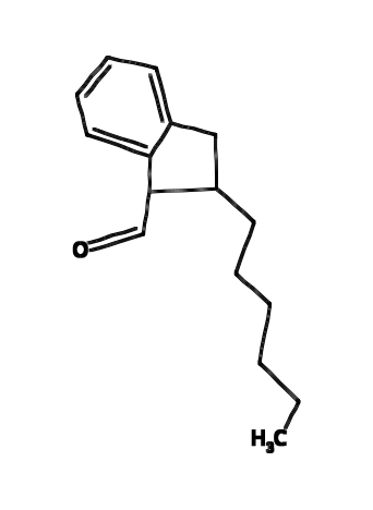 CCCCCCC1Cc2ccccc2C1C=O